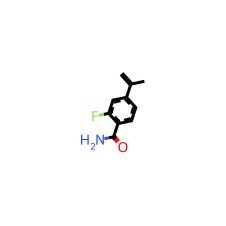 C=C(C)c1ccc(C(N)=O)c(F)c1